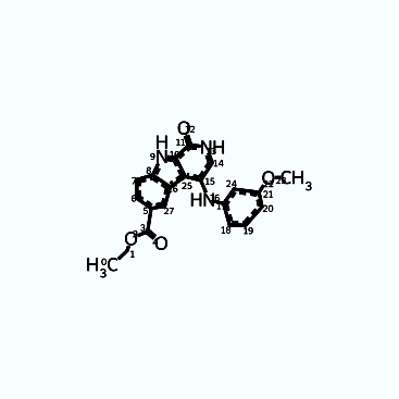 CCOC(=O)c1ccc2[nH]c3c(=O)[nH]cc(Nc4cccc(OC)c4)c3c2c1